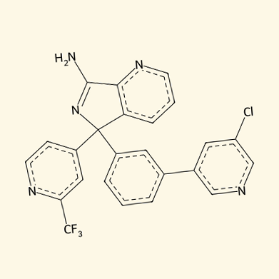 NC1=NC(c2cccc(-c3cncc(Cl)c3)c2)(c2ccnc(C(F)(F)F)c2)c2cccnc21